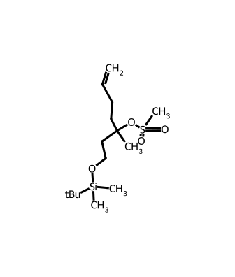 C=CCCC(C)(CCO[Si](C)(C)C(C)(C)C)OS(C)(=O)=O